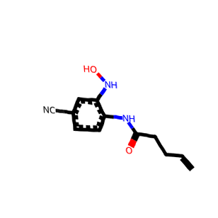 C=CCCC(=O)Nc1ccc(C#N)cc1NO